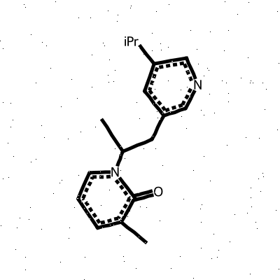 Cc1cccn(C(C)Cc2cncc(C(C)C)c2)c1=O